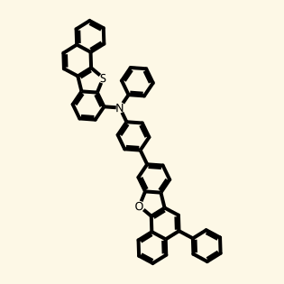 c1ccc(-c2cc3c4ccc(-c5ccc(N(c6ccccc6)c6cccc7c6sc6c8ccccc8ccc76)cc5)cc4oc3c3ccccc23)cc1